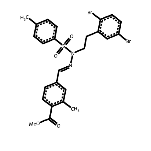 COC(=O)c1ccc(C=NN(CCc2cc(Br)ccc2Br)S(=O)(=O)c2ccc(C)cc2)cc1C